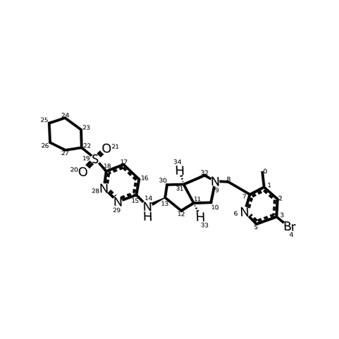 Cc1cc(Br)cnc1CN1C[C@H]2C[C@@H](Nc3ccc(S(=O)(=O)C4CCCCC4)nn3)C[C@H]2C1